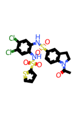 CC(=O)N1CCc2cc(S(=O)(=O)Nc3cc(Cl)c(Cl)cc3NS(=O)(=O)c3cccs3)ccc21